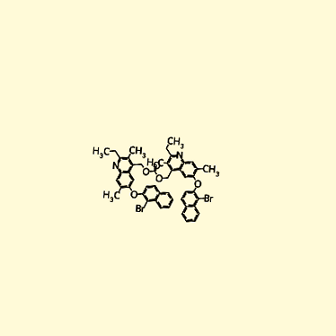 CCc1nc2cc(C)c(Oc3ccc4ccccc4c3Br)cc2c(COC(=O)OCc2c(C)c(CC)nc3cc(C)c(Oc4ccc5ccccc5c4Br)cc23)c1C